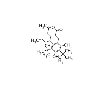 CCCCC(CCC)c1c(CCC(=O)O)c(C)c(C(C)(C)C)c(O)c1C(C)(C)C